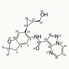 CC1(C)Cc2cc(NC(=O)c3cnn4cccnc34)c([C@H]3C[C@H]3CO)cc2O1